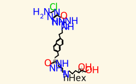 CCCCCCN(CCCC[C@H](O)CO)CCCN[C@@H](CCc1ccc2cc(CCCNC(=N)NC(=O)c3nc(Cl)c(N)nc3N)ccc2c1)C(N)=O